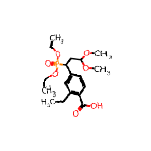 CCOP(=O)(OCC)C(CC(OC)OC)c1ccc(C(=O)O)c(CC)c1